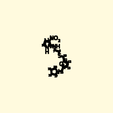 O=[N+]([O-])c1cc[nH]c1NCCSCc1ccc(CN2CCCC2)o1